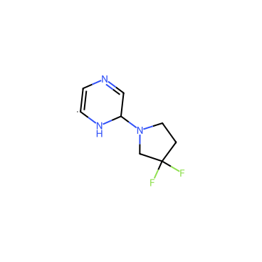 FC1(F)CCN(C2C=NC=[C]N2)C1